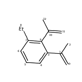 C=C(C)c1cccc(CC)c1C(=C)C